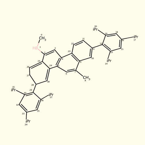 CBc1cc2c(cc(C)c3cc(-c4c(C(C)C)cc(C(C)C)cc4C(C)C)ccc32)c2c1=CCC(c1c(C(C)C)cc(C(C)C)cc1C(C)C)C=2